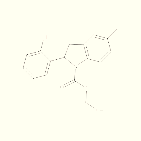 CCOC(=O)N1c2ccc(I)cc2CC1c1ccccc1Cl